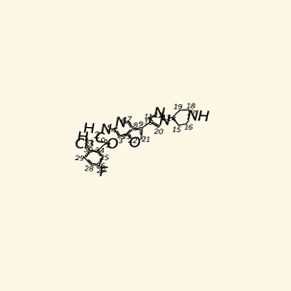 CC(Oc1c(N)ncc2c(-c3cnn(C4CCNCC4)c3)coc12)c1cc(F)ccc1Cl